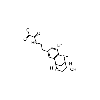 O=C([O-])C(=O)NCCc1ccc2c(c1)[C@H]1C[C@@H](N2)[C@H](O)CO1.[Li+]